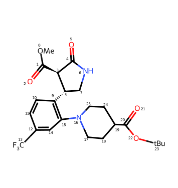 COC(=O)[C@H]1C(=O)NC[C@@H]1c1ccc(C(F)(F)F)cc1N1CCC(C(=O)OC(C)(C)C)CC1